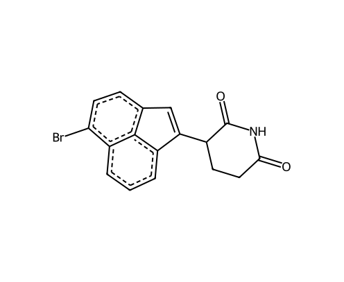 O=C1CCC(C2=Cc3ccc(Br)c4cccc2c34)C(=O)N1